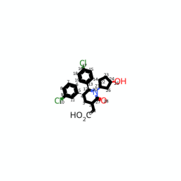 O=C(O)CC1C[C@H](c2cccc(Cl)c2)[C@@H](c2ccc(Cl)cc2)N([C@H]2CC[C@@H](O)C2)C1=O